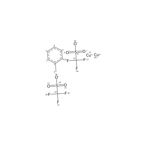 Cc1ccccc1.O=S(=O)([O-])C(F)(F)F.O=S(=O)([O-])C(F)(F)F.[Cu+].[Cu+]